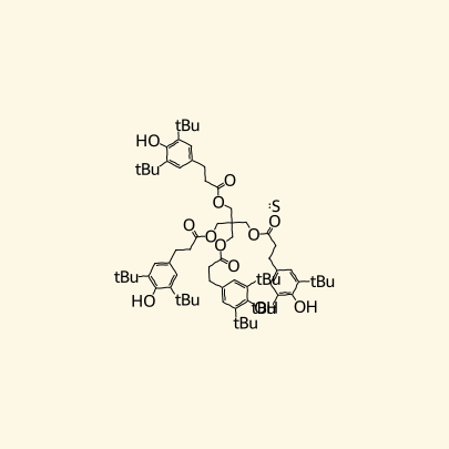 CC(C)(C)c1cc(CCC(=O)OCC(COC(=O)CCc2cc(C(C)(C)C)c(O)c(C(C)(C)C)c2)(COC(=O)CCc2cc(C(C)(C)C)c(O)c(C(C)(C)C)c2)COC(=O)CCc2cc(C(C)(C)C)c(O)c(C(C)(C)C)c2)cc(C(C)(C)C)c1O.[S]